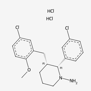 COc1ccc(Cl)cc1C[C@H]1CCCN(N)[C@H]1c1cccc(Cl)c1.Cl.Cl